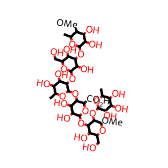 COC1OC(CO)C(O)C(OC2OC(C(=O)O)C(OC3OC(C)C(O)C(O)C3OC3OC(CO)C(O)C(OC4OC(C)C(OC)C(O)C4O)C3O)C(O)C2O)C1OC1OC(C)C(O)C(O)C1O